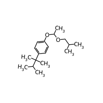 CC(C)COC(C)Oc1ccc(C(C)(C)C(C)C)cc1